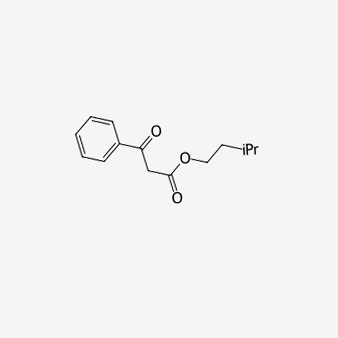 CC(C)CCOC(=O)CC(=O)c1ccccc1